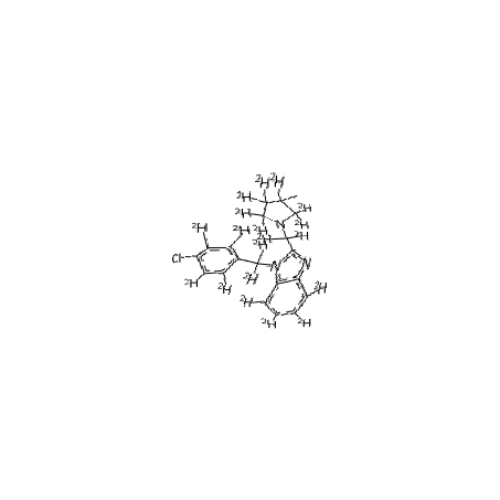 [2H]c1c([2H])c(C([2H])([2H])n2c(C([2H])([2H])N3C([2H])([2H])C([2H])([2H])C([2H])(C)C3([2H])[2H])nc3c([2H])c([2H])c([2H])c([2H])c32)c([2H])c([2H])c1Cl